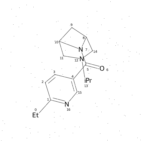 CCc1ccc(C(=O)N2C3CC2CN(C(C)C)C3)cn1